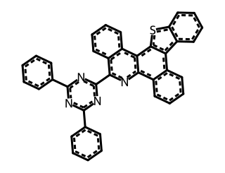 c1ccc(-c2nc(-c3ccccc3)nc(-c3nc4c5ccccc5c5c6ccccc6sc5c4c4ccccc34)n2)cc1